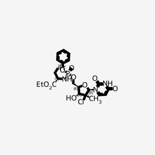 CCOC(=O)[C@H](CC(C)C)N[P@](=O)(OC[C@H]1O[C@@H](n2ccc(=O)[nH]c2=O)[C@](C)(Cl)[C@@H]1O)Oc1ccccc1